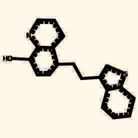 Oc1ccc(CCc2csc3ccccc23)c2cccnc12